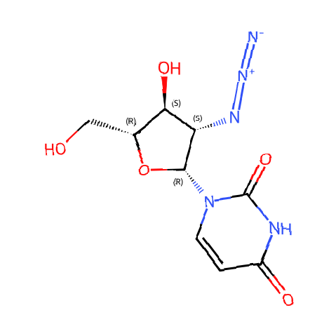 [N-]=[N+]=N[C@H]1[C@H](O)[C@@H](CO)O[C@H]1n1ccc(=O)[nH]c1=O